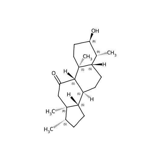 C[C@H]1[C@H](O)CC[C@@]2(C)[C@H]1CC[C@H]1[C@@H]3CC[C@H](C)[C@@]3(C)CC(=O)[C@@H]12